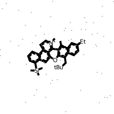 CCc1ccc2c(CC(C)(C)C)c3c(c(C)c2c1)-c1c2c(cc4c([Si](C)(C)C)cccc4c2cc[n+]1C)O3